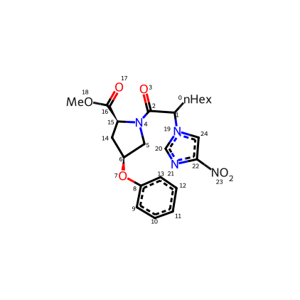 CCCCCCC(C(=O)N1C[C@@H](Oc2ccccc2)C[C@H]1C(=O)OC)n1cnc([N+](=O)[O-])c1